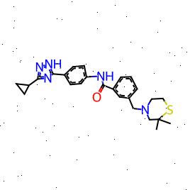 CC1(C)CN(Cc2cccc(C(=O)Nc3ccc(-c4nc(C5CC5)n[nH]4)cc3)c2)CCS1